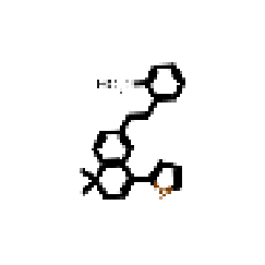 CC1(C)CC=C(c2cccs2)c2cc(C=Cc3ccccc3C(=O)O)ccc21